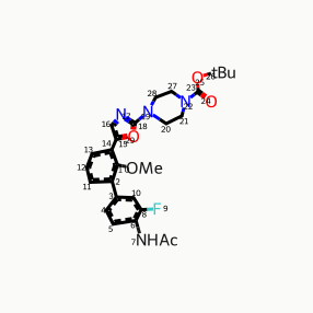 COc1c(-c2ccc(NC(C)=O)c(F)c2)cccc1-c1cnc(N2CCN(C(=O)OC(C)(C)C)CC2)o1